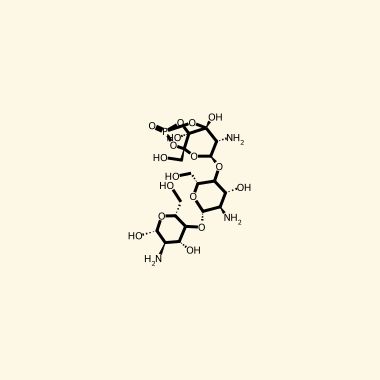 N[C@H]1[C@H](OC2[C@@H](CO)O[C@@H](O)[C@H](N)[C@H]2O)O[C@H](CO)C(O[C@H]2O[C@]3(CO)OP4(=O)O[C@@]3(O)[C@](O)(O4)[C@@H]2N)[C@@H]1O